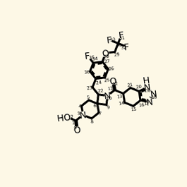 O=C(O)N1CCC2(CC1)CN(C(=O)C1CCc3nn[nH]c3C1)C2Cc1ccc(OCC(F)(F)F)c(F)c1